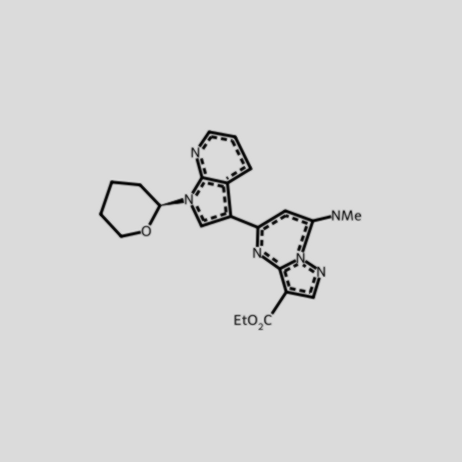 CCOC(=O)c1cnn2c(NC)cc(-c3cn([C@@H]4CCCCO4)c4ncccc34)nc12